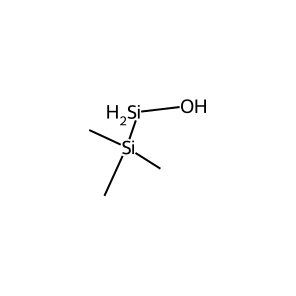 C[Si](C)(C)[SiH2]O